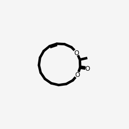 CC1OCC/C=C\CCCCCCCCCOC1=O